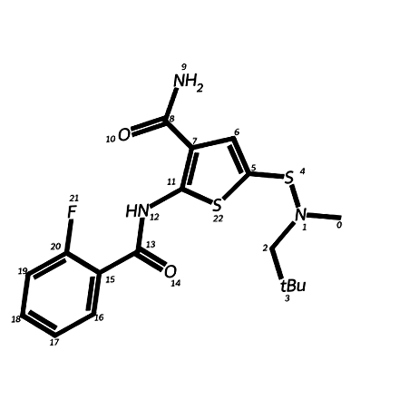 CN(CC(C)(C)C)Sc1cc(C(N)=O)c(NC(=O)c2ccccc2F)s1